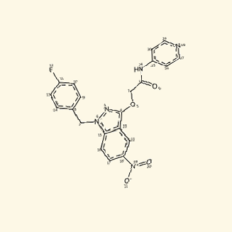 O=C(COc1nn(Cc2ccc(F)cc2)c2ccc([N+](=O)[O-])cc12)Nc1ccncc1